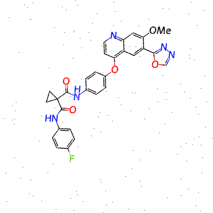 COc1cc2nccc(Oc3ccc(NC(=O)C4(C(=O)Nc5ccc(F)cc5)CC4)cc3)c2cc1-c1nnco1